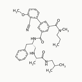 CCCN(C)C(=O)c1cc(C(=O)N[C@H](CN[C@@H](C)C(=O)NCC(C)C)Cc2ccccc2)cc(-c2cccc(OC)c2C#N)c1